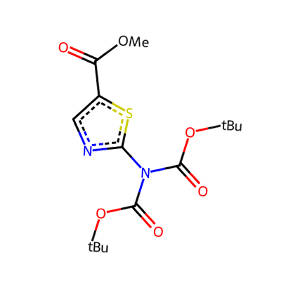 COC(=O)c1cnc(N(C(=O)OC(C)(C)C)C(=O)OC(C)(C)C)s1